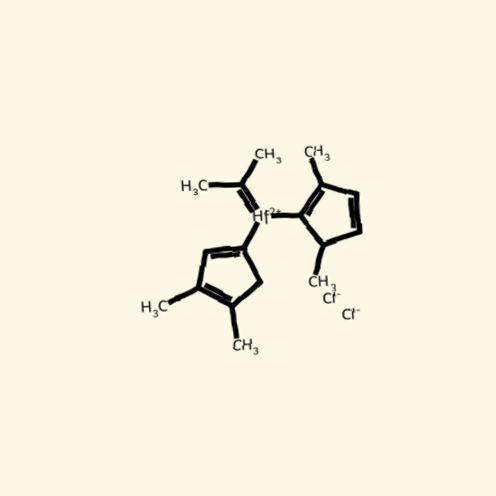 CC1=C(C)C[C]([Hf+2]([C]2=C(C)C=CC2C)=[C](C)C)=C1.[Cl-].[Cl-]